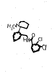 CN1CCCC[C@H]1c1ccccc1CNC(=O)c1cccc(Cl)c1Cl